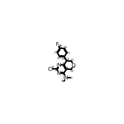 CN(C)c1nc(Cl)nc2c1COCC2c1ccc(F)cc1